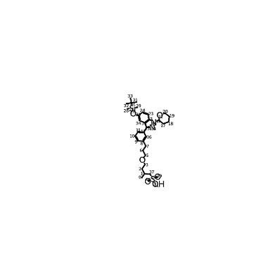 CC(CCOCCCc1cccc(-c2nn(C3CCCCO3)c3ccc(O[Si](C)(C)C(C)(C)C)cc23)c1)CS(=O)(=O)O